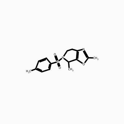 Cc1ccc(S(=O)(=O)N2CCc3nc(C)oc3C2C)cc1